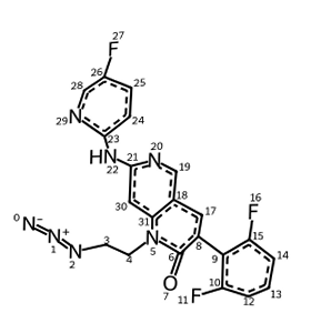 [N-]=[N+]=NCCn1c(=O)c(-c2c(F)cccc2F)cc2cnc(Nc3ccc(F)cn3)cc21